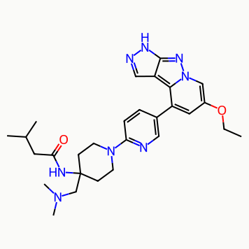 CCOc1cc(-c2ccc(N3CCC(CN(C)C)(NC(=O)CC(C)C)CC3)nc2)c2c3cn[nH]c3nn2c1